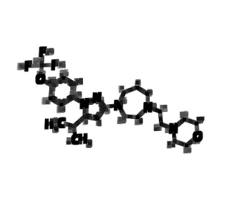 CC(C)c1cc(N2CCCN(CCN3CCOCC3)CC2)nn1-c1ccc(OC(F)(F)F)cc1